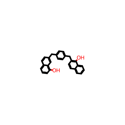 Oc1cccc2ccc(Cc3ccc(Cc4ccc5ccccc5c4O)cc3)cc12